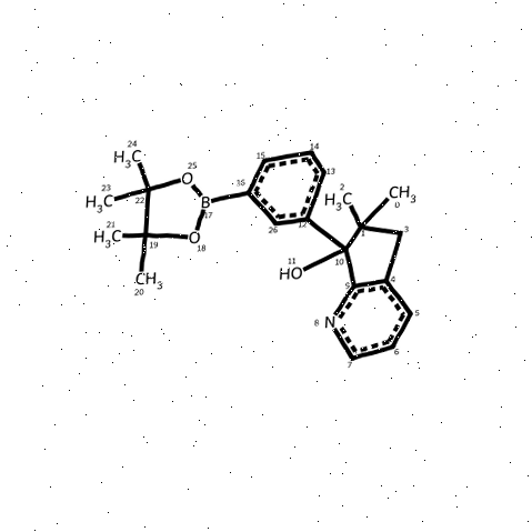 CC1(C)Cc2cccnc2C1(O)c1cccc(B2OC(C)(C)C(C)(C)O2)c1